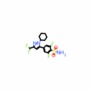 NS(=O)(=O)c1c(F)cc(-c2cc(C(F)F)nn2C2CCCCC2)cc1F